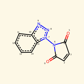 O=C1C=CC(=O)N1n1nnc2ccccc21